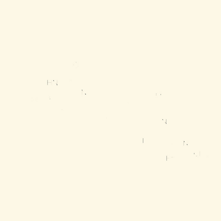 CCC1CN(C(=O)c2cc(Cn3c(=O)[nH]c(=O)c4ccccc43)ccc2F)CCN1C